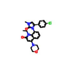 CCn1c(=O)cc(N2CCOCC2)c2cccc(-n3c(-c4ccc(Cl)cc4)cn(C)c3=O)c21